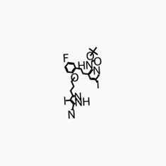 CC(C)(C)OC(=O)Nc1ncc(I)cc1CCc1cc(F)ccc1OCCCc1n[nH]c(C#N)c1I